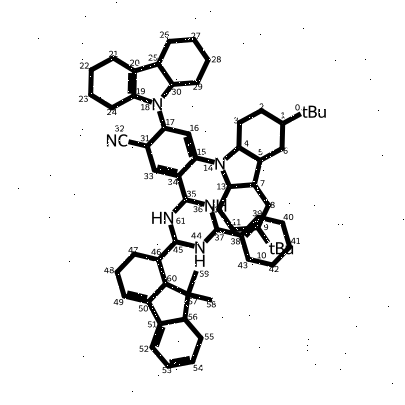 CC(C)(C)C1CCC2C(C1)C1CC(C(C)(C)C)CCC1N2C1=CC(N2C3=C(CCCC3)C3CCCCC32)C(C#N)C=C1C1NC(C2=CCCCC2)NC(C2CCC=C3C4=CC=CCC4C(C)(C)C32)N1